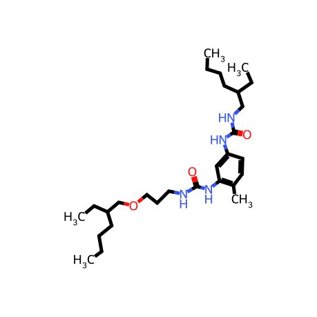 CCCCC(CC)CNC(=O)Nc1ccc(C)c(NC(=O)NCCCOCC(CC)CCCC)c1